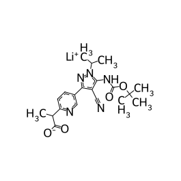 CC(C(=O)[O-])c1ccc(-c2nn(C(C)C)c(NC(=O)OC(C)(C)C)c2C#N)cn1.[Li+]